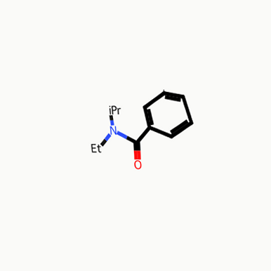 CCN(C(=O)c1c[c]ccc1)C(C)C